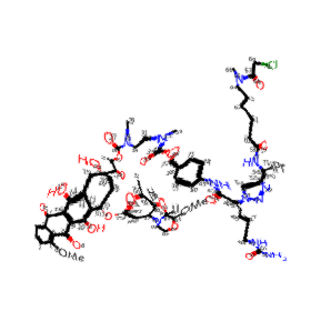 COc1cccc2c1C(=O)c1c(O)c3c(c(O)c1C2=O)C[C@@](O)(C(=O)COC(=O)N(C)CCN(C)C(=O)OCc1ccc(NC(=O)[C@H](CCCNC(N)=O)n2cc([C@@H](NC(=O)CCCCCN(C)C(=O)CCl)C(C)C)nn2)cc1)C[C@@H]3O[C@H]1CC2[C@H](O[C@@H]3[C@@H](OC)OCCN23)[C@H](C)O1